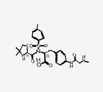 CNCC(=O)Nc1ccc(C[C@@H](C(=O)O)N(C(=O)[C@H]2NC(C)(C)CS2)S(=O)(=O)c2ccc(C)cc2)cc1